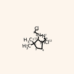 CC1(C)CCC2C=NN(CCl)C21.Cl